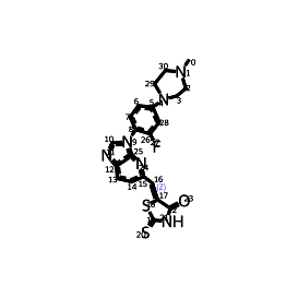 CN1CCN(c2ccc(-n3cnc4ccc(/C=C5\SC(=S)NC5=O)nc43)c(F)c2)CC1